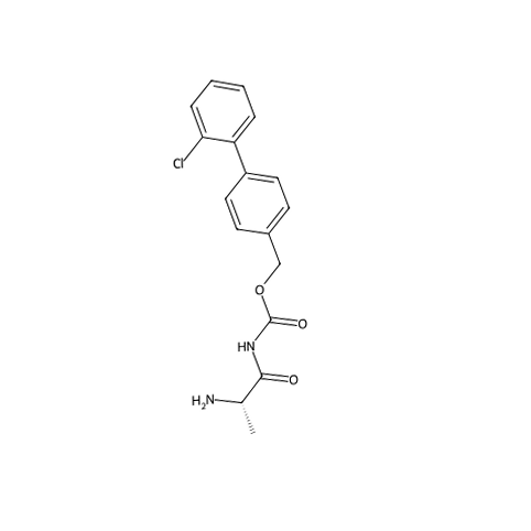 C[C@H](N)C(=O)NC(=O)OCc1ccc(-c2ccccc2Cl)cc1